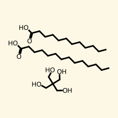 CCCCCCCCCCCC(=O)O.CCCCCCCCCCCCCC(=O)O.OCC(CO)(CO)CO